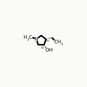 CC[C@H]1CN(C)C[C@H]1O